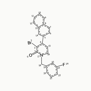 O=c1c(Br)c(-c2ccc3ccccc3c2)ccn1Cc1cccc(F)c1